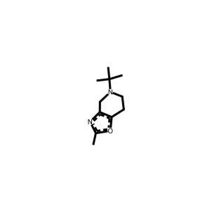 Cc1nc2c(o1)CCN(C(C)(C)C)C2